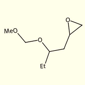 CCC(CC1CO1)OCOC